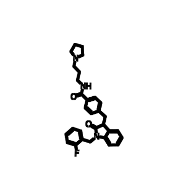 O=C(NCCCN1CCCC1)c1ccc(CC2C(=O)N(Cc3ccccc3F)c3ccccc32)cc1